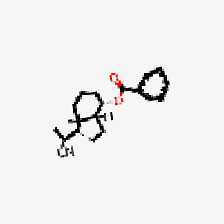 C[C@H](C#N)[C@H]1CC[C@H]2[C@@H](OC(=O)c3ccccc3)CCC[C@@]12C